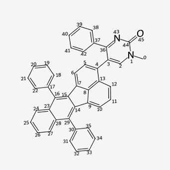 Cn1cc(-c2ccc3c4c(cccc24)-c2c-3c(-c3ccccc3)c3ccccc3c2-c2ccccc2)c(-c2ccccc2)nc1=O